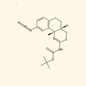 CC(C)(C)OC(=O)NC1=N[C@]2(C)c3cc(N=[N+]=[N-])ccc3CC[C@@H]2CS1